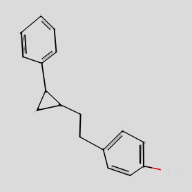 Oc1ccc(CCC2C[C]2c2ccccc2)cc1